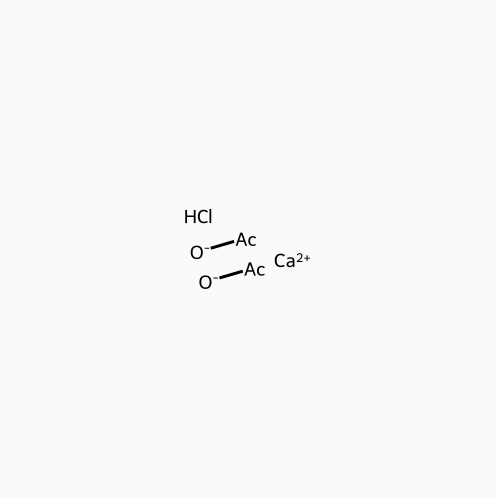 CC(=O)[O-].CC(=O)[O-].Cl.[Ca+2]